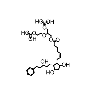 O=C(CCC/C=C\C[C@@H]1[C@@H](CC[C@@H](O)CCc2ccccc2)[C@H](O)C[C@@H]1O)OCC(CON(O)O)OCCON(O)O